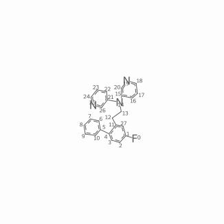 Fc1ccc(-c2ccccc2)c(CCN(c2cccnc2)c2cccnc2)c1